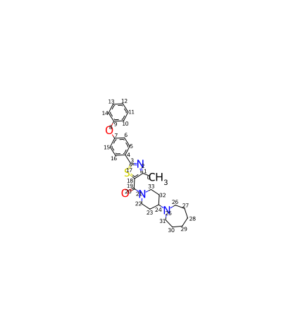 Cc1nc(-c2ccc(Oc3ccccc3)cc2)sc1C(=O)N1CCC(N2CCCCCC2)CC1